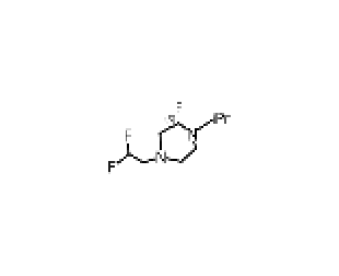 CC(C)N1CCN(CC(F)F)C[C@@H]1C